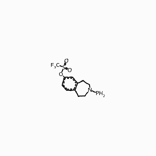 O=S(=O)(Oc1ccc2c(c1)CCN(P)CC2)C(F)(F)F